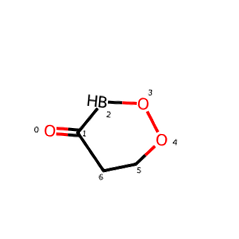 O=C1BOOCC1